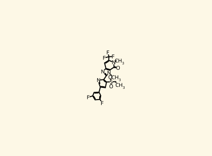 CCS(=O)(=O)c1cc(-c2cc(F)cc(F)c2)cnc1-c1nc2cc(C(F)(F)F)n(C)c(=O)c2n1C